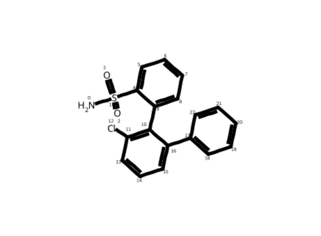 NS(=O)(=O)c1ccccc1-c1c(Cl)cccc1-c1ccccc1